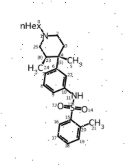 CCCCCCN1CC[C@](C)(c2cccc(NS(=O)(=O)c3ccccc3C)c2)[C@@H](C)C1